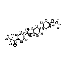 CCC(C)(C)Oc1ccc(-c2ccc(OC(=O)c3ccc(C(=O)C(C)(C)CC)cc3)cc2)cc1